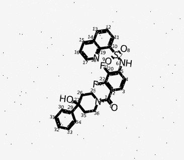 O=C(c1ccc(NS(=O)(=O)c2cccc3cccnc23)c(F)c1F)N1CCC(O)(c2ccccc2)CC1